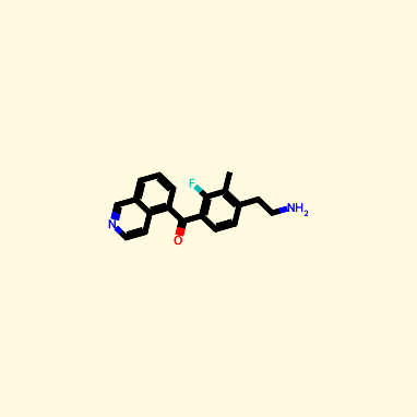 Cc1c(CCN)ccc(C(=O)c2cccc3cnccc23)c1F